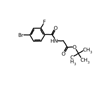 CC(C)(C)OC(=O)CNC(=O)c1ccc(Br)cc1F